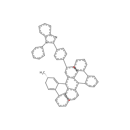 C[C@@H]1C=C(c2c3ccccc3c(-c3ccccc3-c3ccccc3)c3ccc(-c4ccc(-c5nc6ccccc6n5-c5ccccc5)cc4)cc23)C(c2ccccc2)=CC1